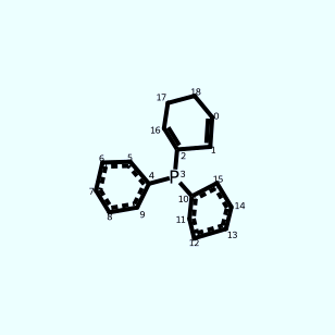 C1=CC(P(c2ccccc2)c2ccccc2)=CCC1